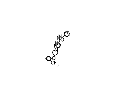 FC(F)(F)c1ccccc1OC1CCN(c2ccc(-c3nnc(-c4ccncc4)o3)nn2)CC1